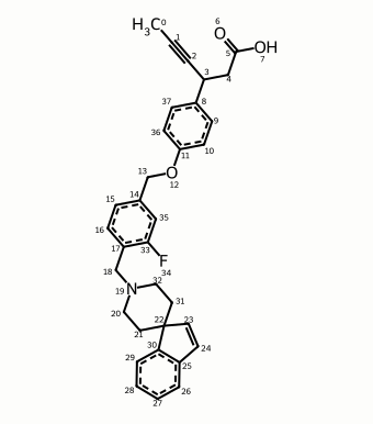 CC#CC(CC(=O)O)c1ccc(OCc2ccc(CN3CCC4(C=Cc5ccccc54)CC3)c(F)c2)cc1